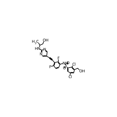 CC(CO)Nc1ncc(C#Cc2c(F)ccc(NS(=O)(=O)c3cc(Cl)cc(CO)c3Cl)c2F)cn1